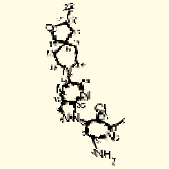 Cc1nc(N)cc(-n2ncc3nc(N4CCC5(CC4)CO[C@@H](C)C5)cnc32)c1Cl